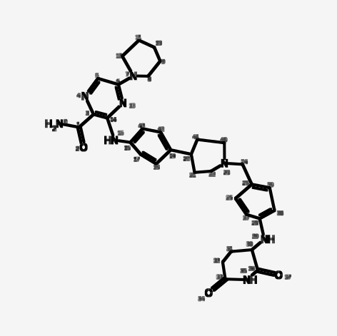 NC(=O)c1ncc(N2CCCCC2)nc1Nc1ccc(C2CCN(Cc3ccc(NC4CCC(=O)NC4=O)cc3)CC2)cc1